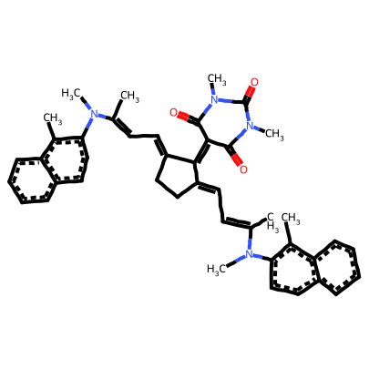 C/C(=C\C=C1/CC/C(=C\C=C(/C)N(C)c2ccc3ccccc3c2C)C1=C1C(=O)N(C)C(=O)N(C)C1=O)N(C)c1ccc2ccccc2c1C